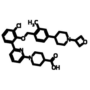 Cc1cc(C2CCN(C3COC3)CC2)ccc1COc1c(Cl)cccc1-c1cccc(N2CCC(C(=O)O)CC2)n1